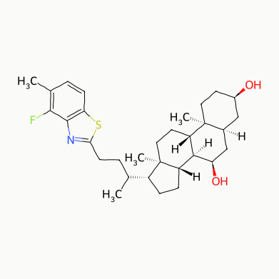 Cc1ccc2sc(CCC(C)[C@H]3CC[C@H]4[C@@H]5[C@H](O)C[C@@H]6C[C@H](O)CC[C@]6(C)[C@H]5CC[C@]34C)nc2c1F